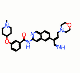 CN1CCC(Oc2cccc(C(=O)Nc3cc4cc(/C(C=N)=C\CN5CCOCC5)ccc4cn3)c2)CC1